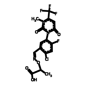 CC(O/N=C\c1cc(-n2c(=O)cc(C(F)(F)F)n(C)c2=O)c(F)cc1Cl)C(=O)O